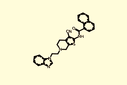 N#Cc1c(NC(=O)c2cccc3ccccc23)sc2c1CCN(CCn1cnc3ccccc31)C2